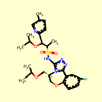 Cc1ccc(C(OC(C)C)C(C)S(=O)(=O)Nc2nnc3n2[C@@H](COC(C)C)COc2ccc(F)cc2-3)nc1